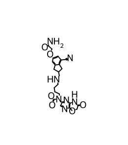 N#Cc1cc(OCC(N)=O)cc2c1CC(CNCCC1CN(c3cnc4c(n3)NC(=O)CO4)C(=O)O1)C2